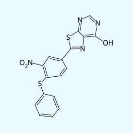 O=[N+]([O-])c1cc(-c2nc3c(O)ncnc3s2)ccc1Sc1ccccc1